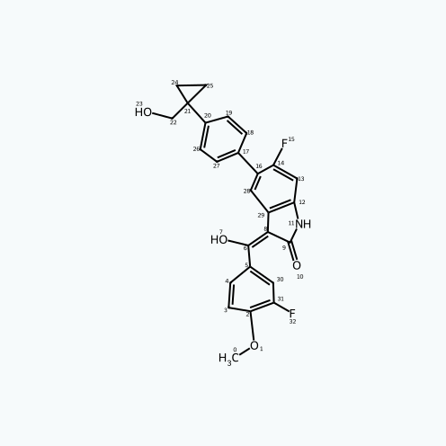 COc1ccc(C(O)=C2C(=O)Nc3cc(F)c(-c4ccc(C5(CO)CC5)cc4)cc32)cc1F